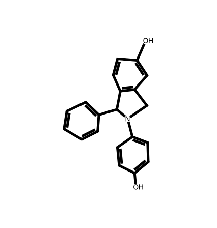 Oc1ccc(N2Cc3cc(O)ccc3C2c2ccccc2)cc1